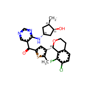 [CH2][C@@H]1C[C@@H](Nc2ncncc2C(=O)c2cc([C@@H]3OCCc4ccc(Cl)c(F)c43)c(C)s2)C[C@@H]1O